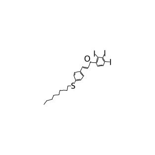 CCCCCCCCSc1ccc(/C=C/C(=O)c2ccc(I)c(I)c2I)cc1